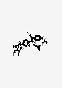 N#Cc1c(-c2ccc(S(=O)(=O)NC(CF)CF)cn2)n(CC2CC2)c2cc(OC(F)F)ccc12